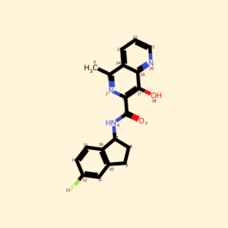 Cc1nc(C(=O)NC2CCc3cc(F)ccc32)c(O)c2ncccc12